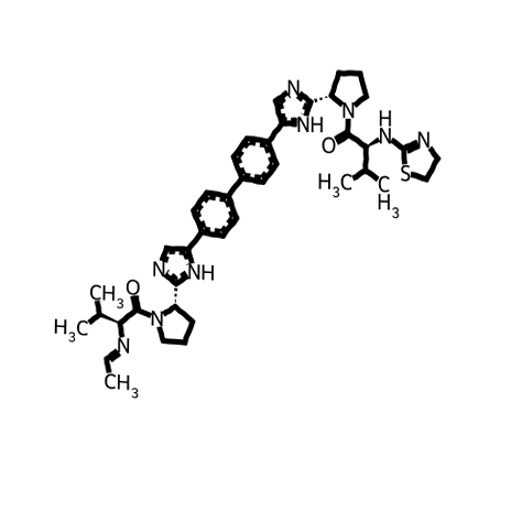 CC=N[C@H](C(=O)N1CCC[C@H]1c1ncc(-c2ccc(-c3ccc(-c4cnc([C@@H]5CCCN5C(=O)[C@@H](NC5=NCCS5)C(C)C)[nH]4)cc3)cc2)[nH]1)C(C)C